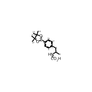 CC(Cc1ccc(B2OC(C)(C)C(C)(C)O2)cc1)NC(=O)O